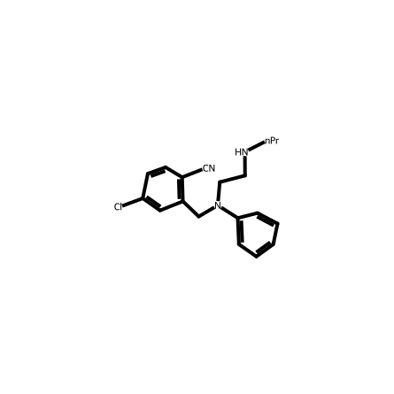 CCCNCCN(Cc1cc(Cl)ccc1C#N)c1ccccc1